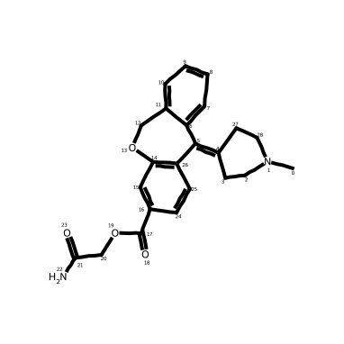 CN1CCC(=C2c3ccccc3COc3cc(C(=O)OCC(N)=O)ccc32)CC1